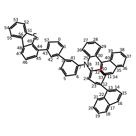 c1cc(-c2cccc(N(c3ccc(-c4cccc5ccccc45)cc3)c3ccccc3-c3cccc4ccccc34)c2)cc(-c2cccc3c2sc2ccccc23)c1